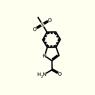 CS(=O)(=O)c1ccc2c(c1)[N]C(C(N)=O)=C2